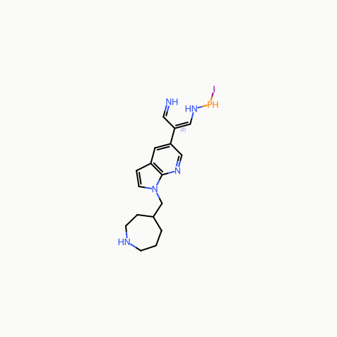 N=C/C(=C\NPI)c1cnc2c(ccn2CC2CCCNCC2)c1